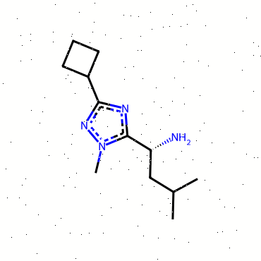 CC(C)C[C@@H](N)c1nc(C2CCC2)nn1C